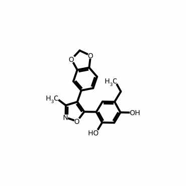 CCc1cc(-c2onc(C)c2-c2ccc3c(c2)OCO3)c(O)cc1O